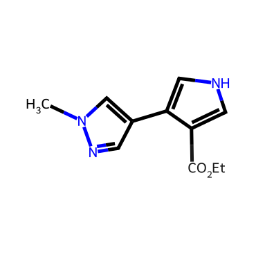 CCOC(=O)c1c[nH]cc1-c1cnn(C)c1